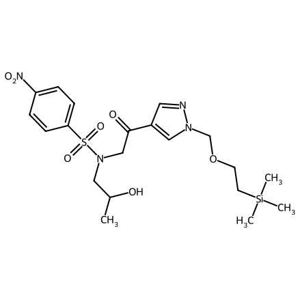 CC(O)CN(CC(=O)c1cnn(COCC[Si](C)(C)C)c1)S(=O)(=O)c1ccc([N+](=O)[O-])cc1